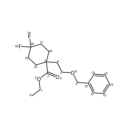 CCOC(=O)C1(CCOCc2ccccc2)CCC(F)(F)CC1